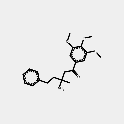 COc1cc(C(=O)CC(C)(N)CCc2ccccc2)cc(OC)c1OC